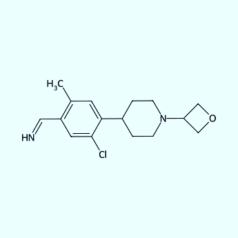 Cc1cc(C2CCN(C3COC3)CC2)c(Cl)cc1C=N